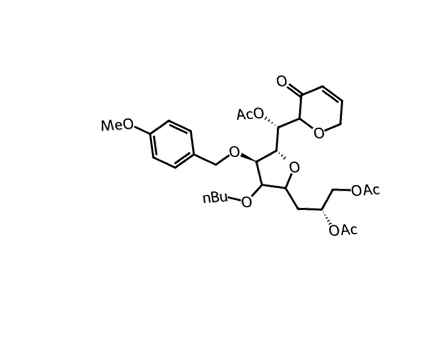 CCCCOC1C(C[C@H](COC(C)=O)OC(C)=O)O[C@@H]([C@H](OC(C)=O)C2OCC=CC2=O)[C@@H]1OCc1ccc(OC)cc1